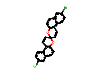 Brc1ccc2c3c(ccc2c1)OC1(C=C3)C=Cc2c(ccc3cc(Br)ccc23)O1